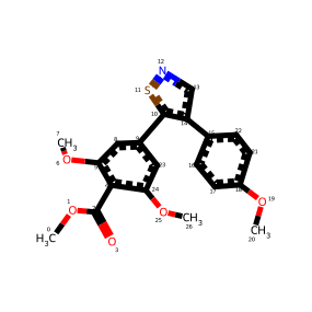 COC(=O)c1c(OC)cc(-c2sncc2-c2ccc(OC)cc2)cc1OC